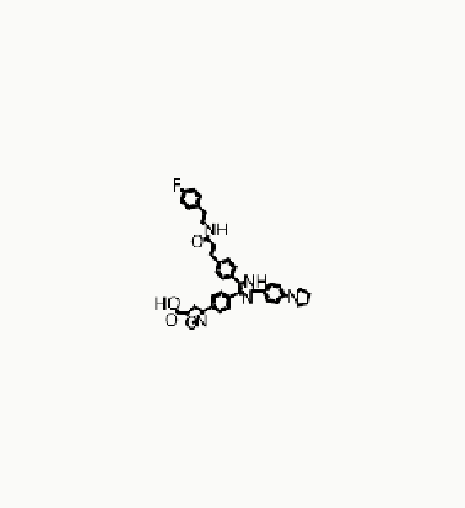 O=C(C=Cc1ccc(-c2[nH]c(-c3ccc(N4CCCC4)cc3)nc2-c2ccc(C3=NOC(C(=O)O)C3)cc2)cc1)NCCc1ccc(F)cc1